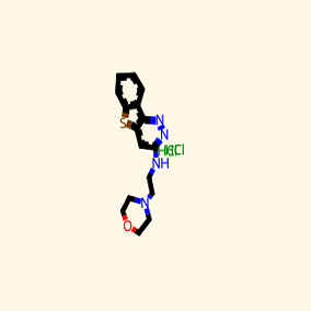 Cl.Cl.c1ccc2c(c1)sc1cc(NCCN3CCOCC3)nnc12